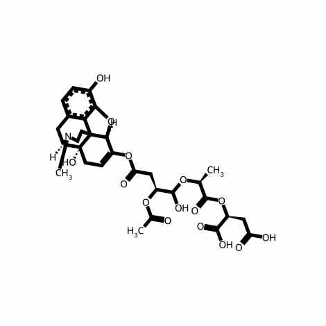 CC(=O)O[C@@H](CC(=O)OC1=CC[C@@]2(O)[C@H]3Cc4ccc(O)c5c4C2(CCN3C)[C@H]1O5)C(O)O[C@@H](C)C(=O)O[C@@H](CC(=O)O)C(=O)O